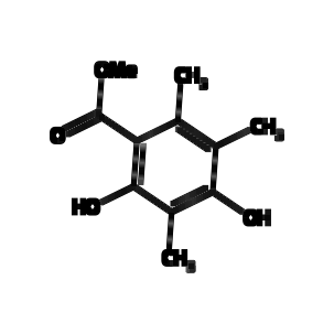 COC(=O)c1c(C)c(C)c(O)c(C)c1O